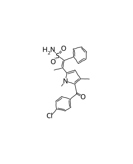 CC(=C(c1ccccc1)S(N)(=O)=O)c1cc(C)c(C(=O)c2ccc(Cl)cc2)n1C